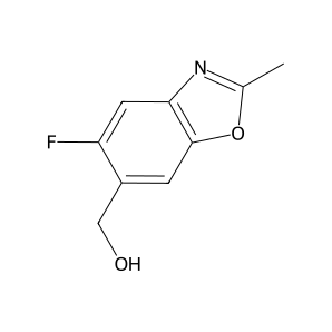 Cc1nc2cc(F)c(CO)cc2o1